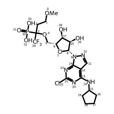 COCCC(OC[C@H]1O[C@@H](n2ncc3c(NC4CCCC4)nc(Cl)nc32)[C@H](O)[C@@H]1O)(C(F)(F)F)P(=O)(O)O